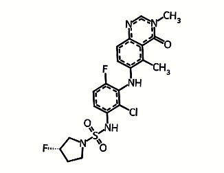 Cc1c(Nc2c(F)ccc(NS(=O)(=O)N3CC[C@H](F)C3)c2Cl)ccc2ncn(C)c(=O)c12